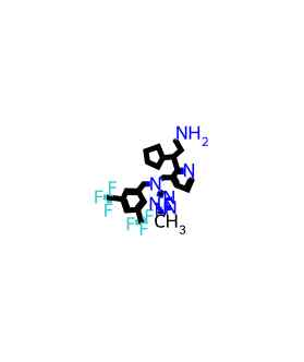 Cn1nnc(N(Cc2cc(C(F)(F)F)cc(C(F)(F)F)c2)Cc2cccnc2C(CCN)C2CCCC2)n1